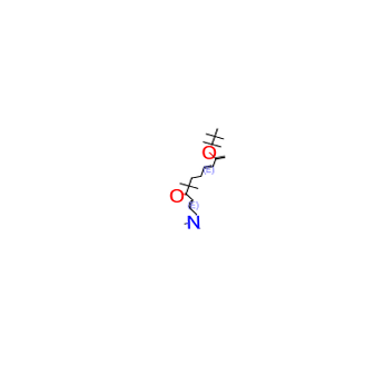 C=C(/C=C/CCC(C)(C)C(=O)/C=C/CN(C)C)OC(C)(C)C(C)(C)C